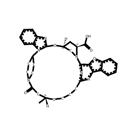 C[C@@H]1CC(=O)N2CCC(CC2)n2c(nc3ccccc32)O[C@H]2C[C@@H](C(=O)O)N(C2)c2nc(nc3c2oc2ccccc23)CCCO1